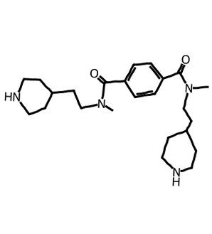 CN(CCC1CCNCC1)C(=O)c1ccc(C(=O)N(C)CCC2CCNCC2)cc1